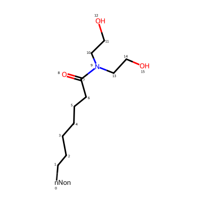 CCCCCCCCCCCC[CH]CCC(=O)N(CCO)CCO